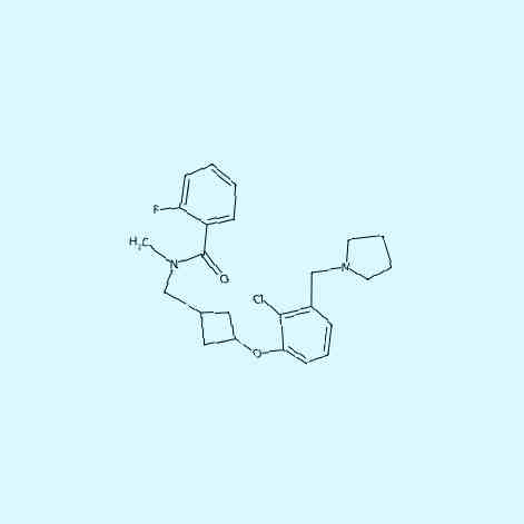 CN(CC1CC(Oc2cccc(CN3CCCC3)c2Cl)C1)C(=O)c1ccccc1F